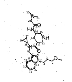 COCCCn1cc(CN(C(=O)C2CNCC(NC(=O)CN(C)C)C2)C2CC2)c2ccccc21